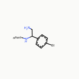 CCCCCNC(CN)c1ccc(CC)cc1